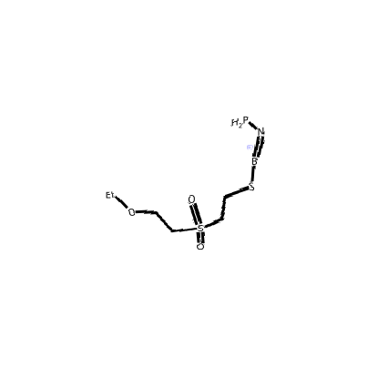 CCOCCS(=O)(=O)CCS/B=N/P